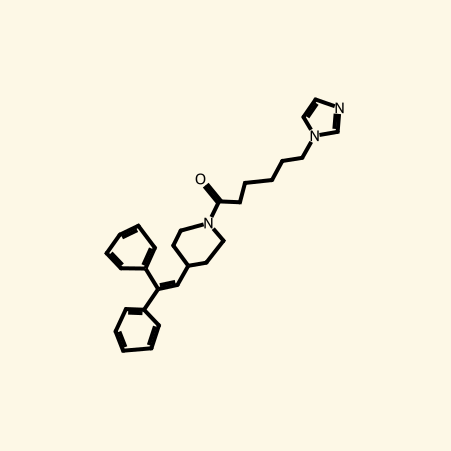 O=C(CCCCCn1ccnc1)N1CCC(C=C(c2ccccc2)c2ccccc2)CC1